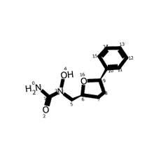 NC(=O)N(O)C[C@@H]1CC[C@H](c2ccccc2)O1